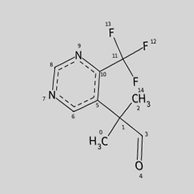 CC(C)(C=O)c1cncnc1C(F)(F)F